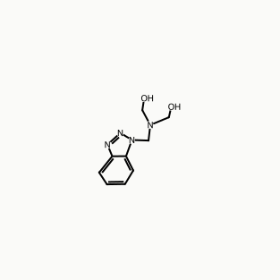 OCN(CO)Cn1nnc2ccccc21